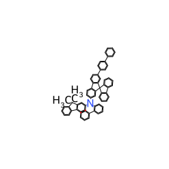 CC1(C)c2ccccc2-c2ccc(N(c3ccc4c(c3)C3(c5ccccc5-c5ccccc53)c3cc(-c5ccc(-c6ccccc6)cc5)ccc3-4)c3ccccc3-c3ccccc3)cc21